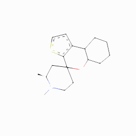 C[C@H]1CC2(CCN1C(=O)O)OC1CCCCC1c1ccsc12